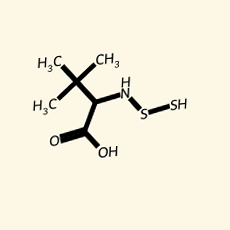 CC(C)(C)C(NSS)C(=O)O